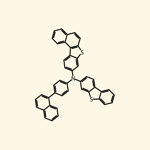 c1ccc2c(-c3ccc(N(c4ccc5c(c4)sc4ccccc45)c4ccc5c(c4)sc4ccc6ccccc6c45)cc3)cccc2c1